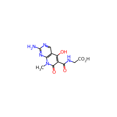 Cn1c(=O)c(C(=O)NCC(=O)O)c(O)c2cnc(N)nc21